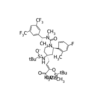 COC(=O)/C(=C/C[C@]1(N[S+]([O-])C(C)(C)C)CCN(C(=O)N(C)[C@H](C)c2cc(C(F)(F)F)cc(C(F)(F)F)c2)[C@@H](c2ccc(F)cc2C)C1)O[Si](C)(C)C(C)(C)C